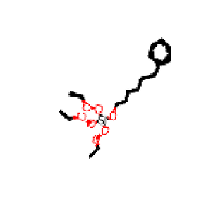 CCOO[Si](OCCCCCCc1ccccc1)(OOCC)OOCC